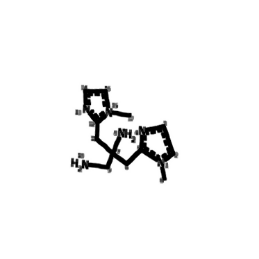 Cn1ccnc1CC(N)(CN)Cc1nccn1C